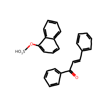 O=C(C=Cc1ccccc1)c1ccccc1.O=S(=O)(O)Oc1cccc2ccccc12